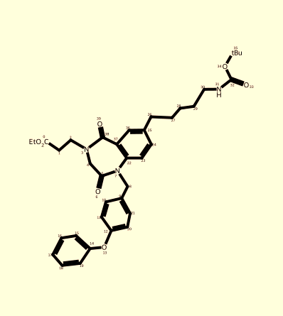 CCOC(=O)CCN1CC(=O)N(Cc2ccc(Oc3ccccc3)cc2)c2ccc(CCCCCNC(=O)OC(C)(C)C)cc2C1=O